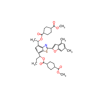 CCC(OC(=O)C1CCC(C(=O)OC)CC1)c1ccc(C(C)OC(=O)C2CCC(C(=O)OC)CC2)c2nc(-c3cc4c(C)cc(C)cc4o3)sc12